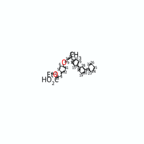 CCOC(Cc1ccc(OCC=C(C)c2ccc(-c3cccc(-c4ccccc4)c3)cc2)cc1)C(=O)O